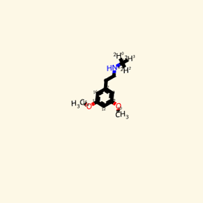 [2H]C([2H])([2H])NCCc1cc(OC)cc(OC)c1